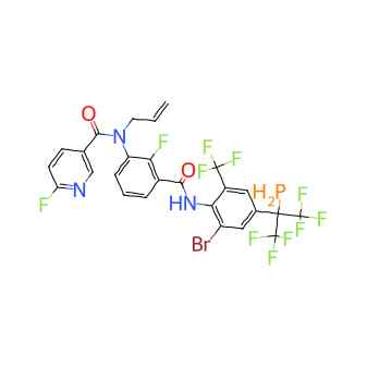 C=CCN(C(=O)c1ccc(F)nc1)c1cccc(C(=O)Nc2c(Br)cc(C(P)(C(F)(F)F)C(F)(F)F)cc2C(F)(F)F)c1F